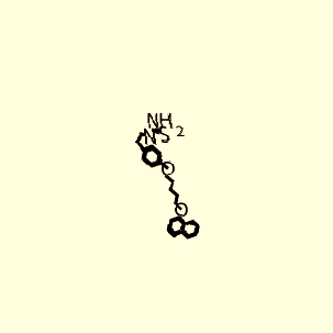 NC(=S)N1CCc2ccc(OCCCCCOc3cccc4ccccc34)cc21